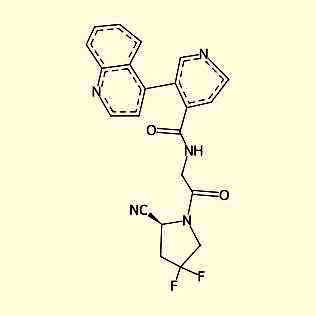 N#C[C@@H]1CC(F)(F)CN1C(=O)CNC(=O)c1ccncc1-c1ccnc2ccccc12